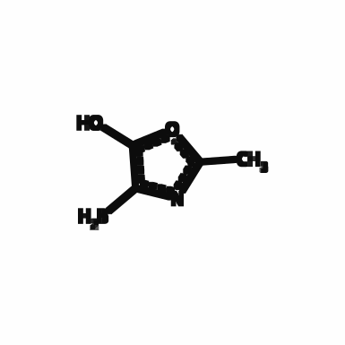 Bc1nc(C)oc1O